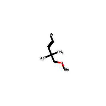 CC(C)/C=C/C(C)(C)COC(C)(C)C